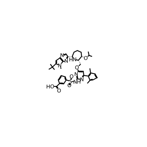 Cc1cccc(C)c1-c1cc(OC[C@@H]2N[C@H](c3cnc4cc(C(C)(C)C)n(C)c4n3)CCC[C@@H]2OC(C)C)nc(NS(=O)(=O)c2cccc(C(=O)O)c2)n1